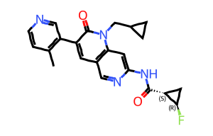 Cc1ccncc1-c1cc2cnc(NC(=O)[C@@H]3C[C@H]3F)cc2n(CC2CC2)c1=O